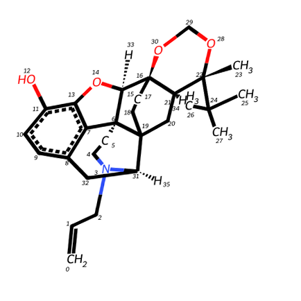 C=CCN1CC[C@]23c4c5ccc(O)c4O[C@H]2[C@@]24CCC3(C[C@@H]2[C@@](C)(C(C)(C)C)OCO4)[C@H]1C5